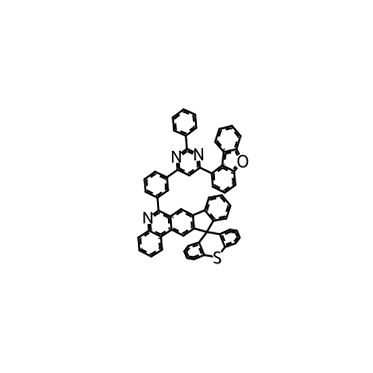 c1ccc(-c2nc(-c3cccc(-c4nc5ccccc5c5cc6c(cc45)-c4ccccc4C64c5ccccc5Sc5ccccc54)c3)cc(-c3cccc4oc5ccccc5c34)n2)cc1